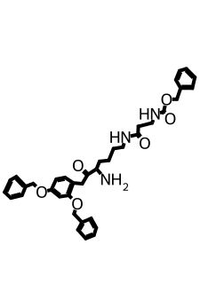 NC(CCCCNC(=O)CCNC(=O)OCc1ccccc1)C(=O)Cc1ccc(OCc2ccccc2)cc1OCc1ccccc1